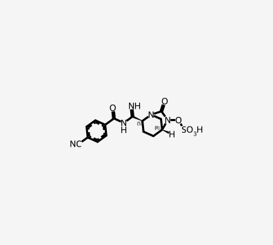 N#Cc1ccc(C(=O)NC(=N)[C@@H]2CC[C@@H]3CN2C(=O)N3OS(=O)(=O)O)cc1